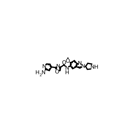 COc1cc2nn(C3CCNCC3)cc2cc1NC(=O)c1coc(-c2ccnc(N)c2)n1